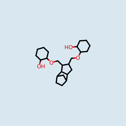 OC1CCCCC1OCC1CC2C3CCC(C3)C2C1COC1CCCCC1O